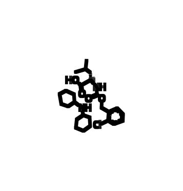 C1CCC(NC2CCCCC2)CC1.CC(C)C[C@H](NC(=O)OCc1ccccc1Cl)C(=O)O